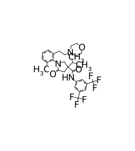 Cc1cccc(CCN2CCOCC2)c1N1CC(C(=O)Nc2cc(C(F)(F)F)cc(C(F)(F)F)c2)(C(C)C)CC1=O